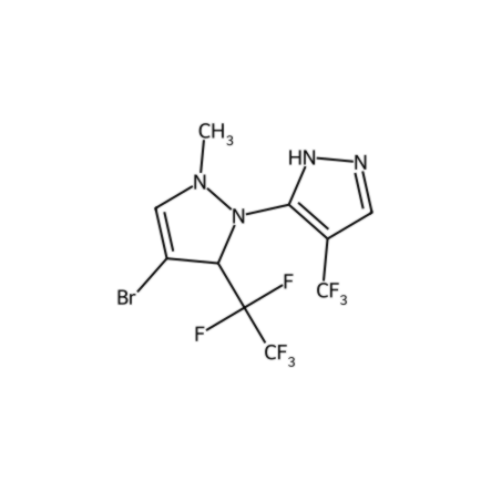 CN1C=C(Br)C(C(F)(F)C(F)(F)F)N1c1[nH]ncc1C(F)(F)F